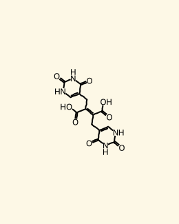 O=C(O)/C(Cc1c[nH]c(=O)[nH]c1=O)=C(\Cc1c[nH]c(=O)[nH]c1=O)C(=O)O